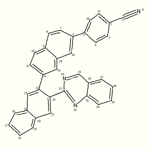 N#Cc1ccc(-c2ccc3ccc(-c4cc5ccccc5cc4-c4ncc5ccccc5n4)cc3c2)cc1